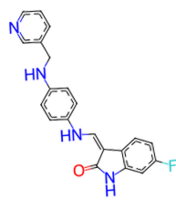 O=C1Nc2cc(F)ccc2C1=CNc1ccc(NCc2cccnc2)cc1